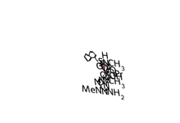 CNc1nc(N)nc2c1ncn2[C@@H]1O[C@](F)(COP(=O)(N[C@H](C)C(=O)OC(C)C)SCc2cccc3ccccc23)[C@@H](O)[C@@]1(C)F